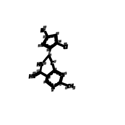 Cc1ncc2c(n1)C[C@@H](c1sc(Br)cc1Cl)NC2=N